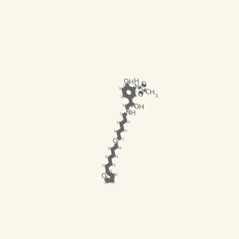 CS(=O)(=O)Nc1cc(C(O)CNCCCCCCOCCCCCCc2ccco2)ccc1O